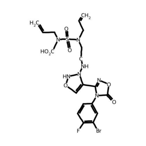 C=CCN(CCNN1NOC=C1c1noc(=O)n1-c1ccc(F)c(Br)c1)S(=O)(=O)N(CC=C)C(=O)O